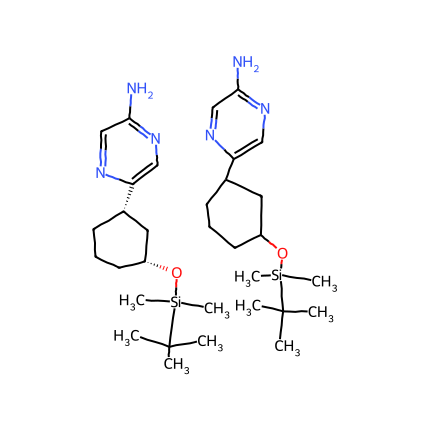 CC(C)(C)[Si](C)(C)OC1CCCC(c2cnc(N)cn2)C1.CC(C)(C)[Si](C)(C)O[C@@H]1CCC[C@H](c2cnc(N)cn2)C1